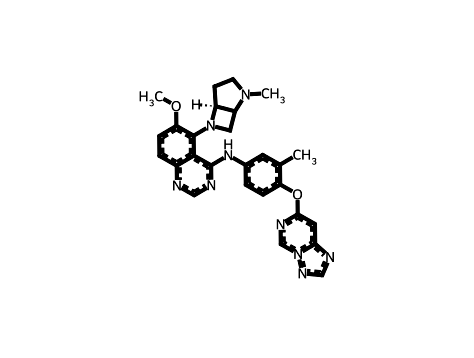 COc1ccc2ncnc(Nc3ccc(Oc4cc5ncnn5cn4)c(C)c3)c2c1N1CC2[C@@H]1CCN2C